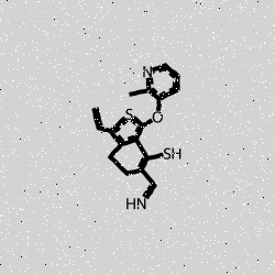 C=Cc1sc(Oc2cccnc2C)c2c1CCC(C=N)=C2S